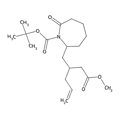 C=CCC(CC(=O)OC)CC1CCCCC(=O)N1C(=O)OC(C)(C)C